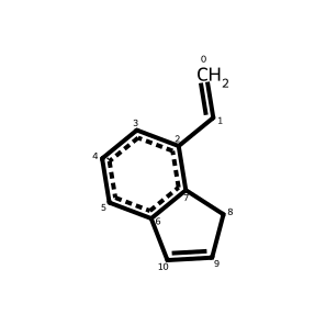 C=Cc1c[c]cc2c1CC=C2